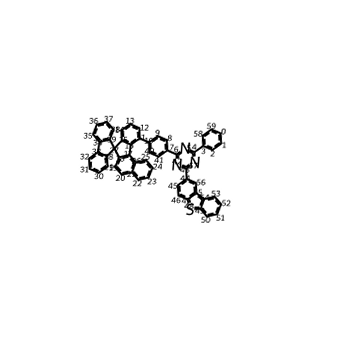 c1ccc(-c2nc(-c3ccc(-c4cccc5c4-c4c(ccc6ccccc46)C54c5ccccc5-c5ccccc54)cc3)nc(-c3ccc4sc5ccccc5c4c3)n2)cc1